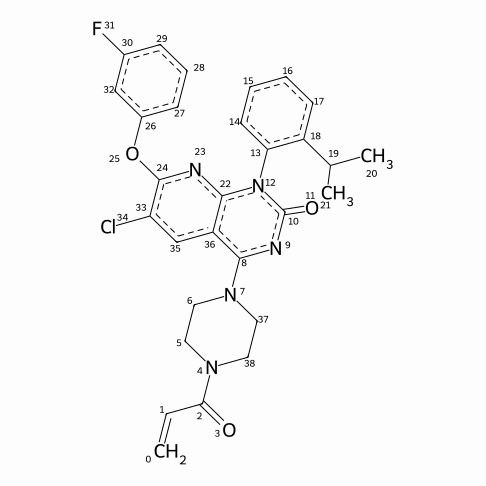 C=CC(=O)N1CCN(c2nc(=O)n(-c3ccccc3C(C)C)c3nc(Oc4cccc(F)c4)c(Cl)cc23)CC1